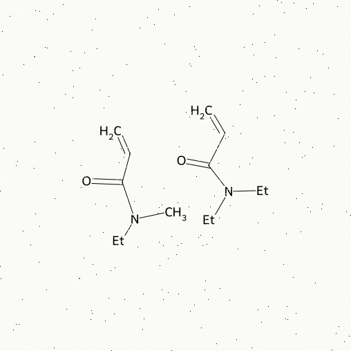 C=CC(=O)N(C)CC.C=CC(=O)N(CC)CC